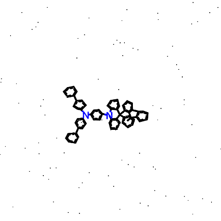 CC1(C)c2ccccc2-c2cccc(C3(c4ccccc4)c4ccccc4N(c4ccc(N(c5ccc(-c6ccccc6)cc5)c5ccc(-c6ccccc6)cc5)cc4)c4ccccc43)c21